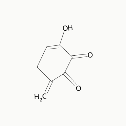 C=C1CC=C(O)C(=O)C1=O